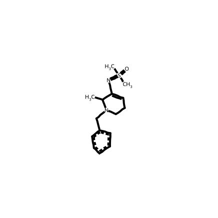 CC1C(N=S(C)(C)=O)=CCCN1Cc1ccccc1